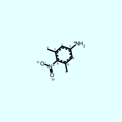 Cc1cc(N)cc(C)c1[N+](=O)[O-]